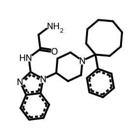 NCC(=O)Nc1nc2ccccc2n1C1CCN(C2(c3ccccc3)CCCCCCC2)CC1